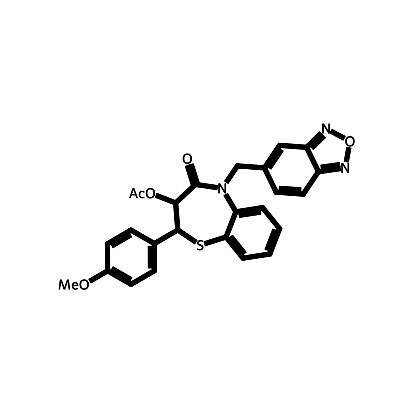 COc1ccc(C2Sc3ccccc3N(Cc3ccc4nonc4c3)C(=O)C2OC(C)=O)cc1